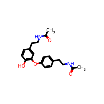 CC(=O)NCCc1ccc(Oc2cc(CCNC(C)=O)ccc2O)cc1